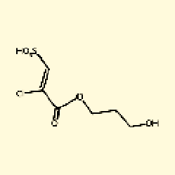 O=C(OCCCO)C(Cl)=CS(=O)(=O)O